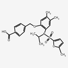 Cc1ccc(S(=O)(=O)N(c2cc(C)c(C)cc2OCc2ccc(C(=O)O)cc2)C(C)C)o1